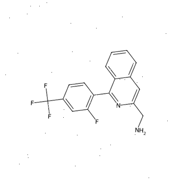 NCc1cc2ccccc2c(-c2ccc(C(F)(F)F)cc2F)n1